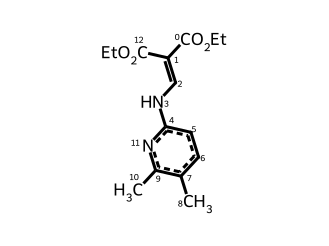 CCOC(=O)C(=CNc1ccc(C)c(C)n1)C(=O)OCC